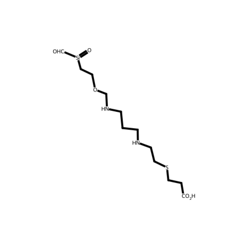 O=C[Si](=O)CCOCNCCCNCCSCCC(=O)O